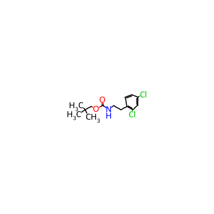 CC(C)(C)COC(=O)NCCc1ccc(Cl)cc1Cl